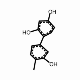 Cc1ccc(-c2ccc(O)cc2O)cc1O